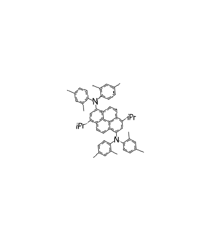 Cc1ccc(N(c2ccc(C)cc2C)c2cc(C(C)C)c3ccc4c(N(c5ccc(C)cc5C)c5ccc(C)cc5C)cc(C(C)C)c5ccc2c3c54)c(C)c1